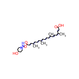 CC(=C/C=C/C(C)=C/C=C/C=C(C)/C=C/C=C(C)/C=C/C(=O)ONN1CCC(O)CC1)/C=C/C(=O)O